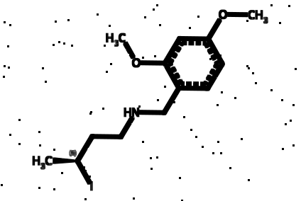 COc1ccc(CNCC[C@H](C)I)c(OC)c1